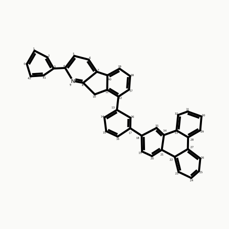 c1ccc(-c2ccc3c(n2)Cc2c(-c4cccc(-c5ccc6c7ccccc7c7ccccc7c6c5)c4)cccc2-3)cc1